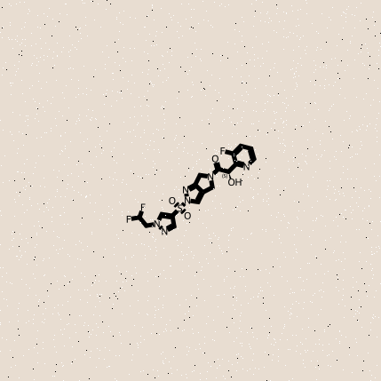 O=C([C@@H](O)c1ncccc1F)N1Cc2cn(S(=O)(=O)c3cnn(CC(F)F)c3)nc2C1